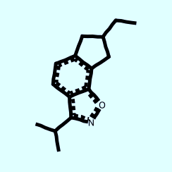 CCC1Cc2ccc3c(C(C)C)noc3c2C1